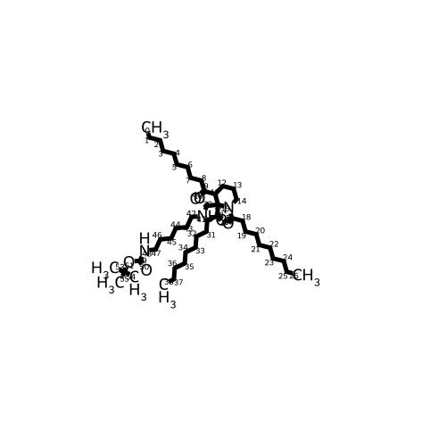 CCCCCCCCCC(=O)C1CCCN(C(=O)CCCCCCCCC)C1(C(=O)CCCCCCCCC)C(=O)NCCCCCCNC(=O)OC(C)(C)C